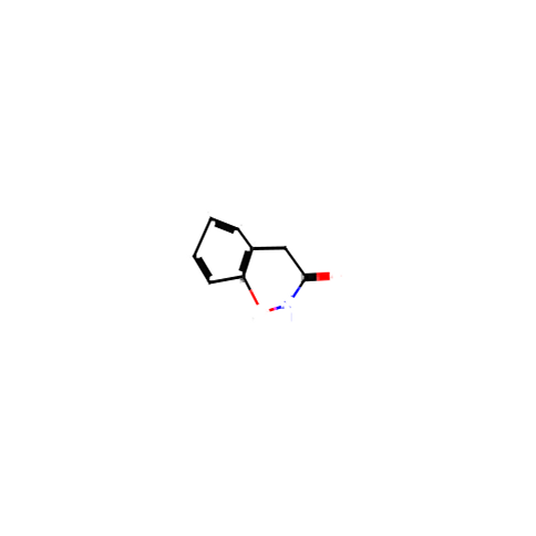 O=C1Cc2ccc[c]c2ON1